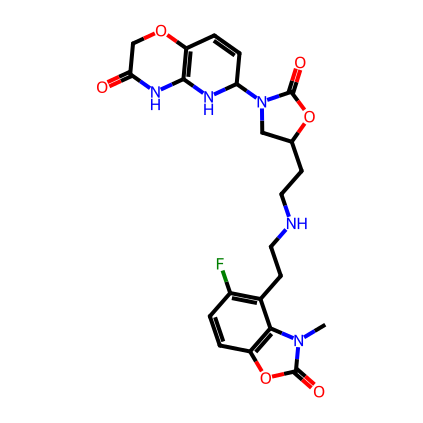 Cn1c(=O)oc2ccc(F)c(CCNCCC3CN(C4C=CC5=C(NC(=O)CO5)N4)C(=O)O3)c21